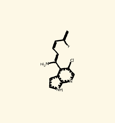 C=C(F)/C=C\C=C(/N)c1c(Cl)cnc2[nH]ccc12